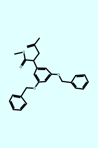 C=C(C)CC(C(=O)OC)c1cc(OCc2ccccc2)cc(OCc2ccccc2)c1